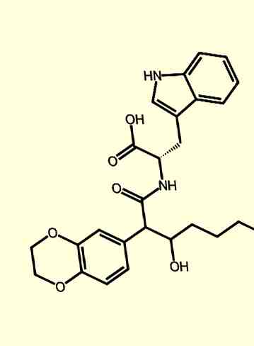 CCCCC(O)C(C(=O)N[C@@H](Cc1c[nH]c2ccccc12)C(=O)O)c1ccc2c(c1)OCCO2